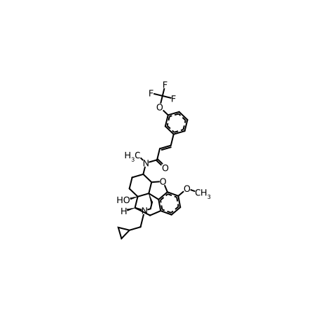 COc1ccc2c3c1OC1C(N(C)C(=O)/C=C/c4cccc(OC(F)(F)F)c4)CC[C@@]4(O)[C@@H](C2)N(CC2CC2)CC[C@]314